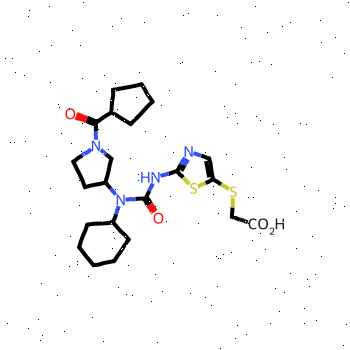 O=C(O)CSc1cnc(NC(=O)N(C2CCCCC2)C2CCN(C(=O)C3CCCC3)C2)s1